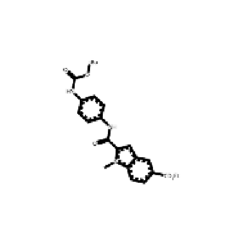 CCOC(=O)c1ccc2c(c1)cc(C(=O)Nc1ccc(NC(=O)OC(C)(C)C)cc1)n2C